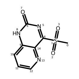 CS(=O)(=O)c1nc(=O)[nH]c2cccnc12